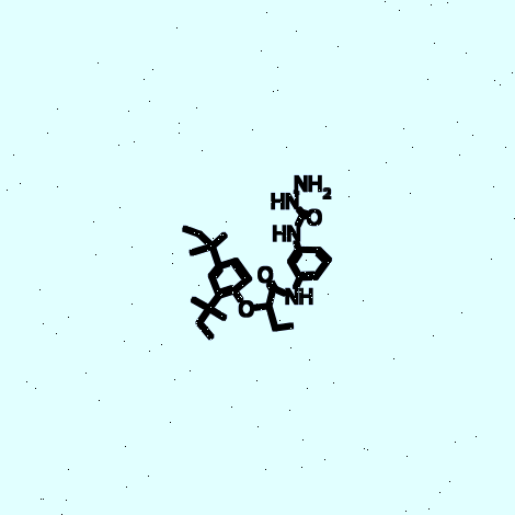 CCC(Oc1ccc(C(C)(C)CC)cc1C(C)(C)CC)C(=O)Nc1cccc(NC(=O)NN)c1